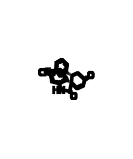 O=C1C=C[C@@]2(C(=O)Nc3cc(Cl)ccc32)[C@H](c2cccc(F)c2)C1